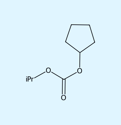 CC(C)OC(=O)OC1CCCC1